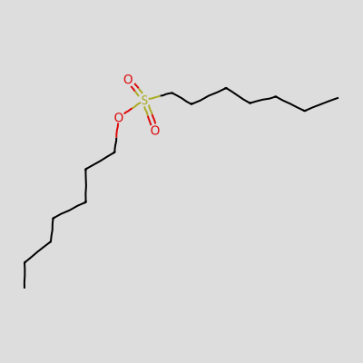 CCCCCCCOS(=O)(=O)CCCCCCC